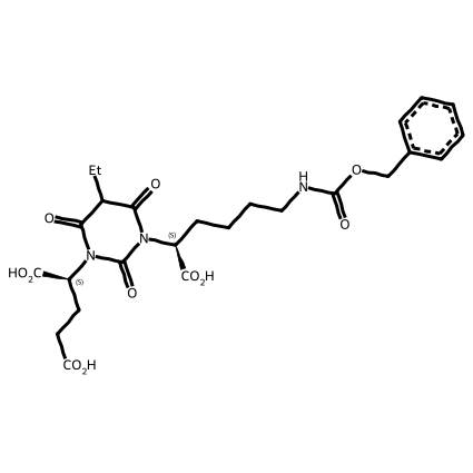 CCC1C(=O)N([C@@H](CCCCNC(=O)OCc2ccccc2)C(=O)O)C(=O)N([C@@H](CCC(=O)O)C(=O)O)C1=O